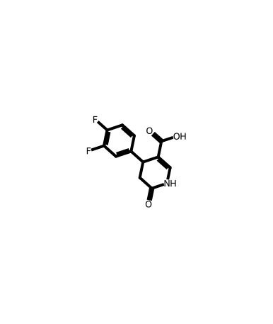 O=C1CC(c2ccc(F)c(F)c2)C(C(=O)O)=CN1